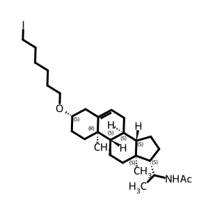 CC(=O)NC(C)[C@H]1CC[C@H]2[C@@H]3CC=C4C[C@@H](OCCCCCCI)CC[C@]4(C)[C@H]3CC[C@]12C